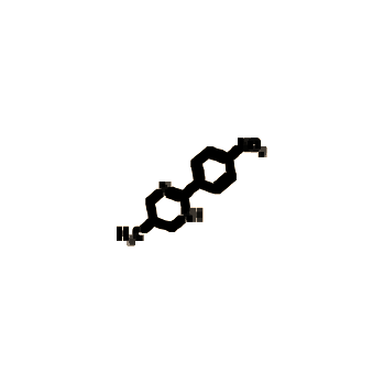 CC1CN=C(c2ccc([N+](=O)[O-])cc2)NC1